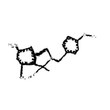 CC1(C=O)c2c(cc(N)cc2C(F)(F)F)CN1Cc1ccc(OC(F)(F)F)cc1